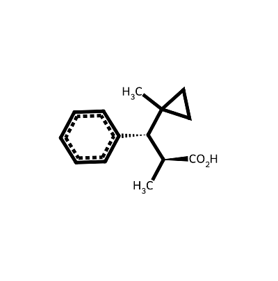 C[C@H](C(=O)O)[C@H](c1ccccc1)C1(C)CC1